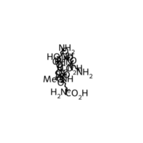 CO[C@@]1(NC(=O)CCC[C@@H](N)C(=O)O)C(=O)N2C(C(=O)O)=C(COC(=O)CC(O)C(CC(N)=O)N[C@H](C(=O)NC(=O)[C@@H](N)CCCN)C(C)C)CS[C@@H]21